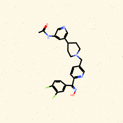 CC(=O)Nc1cncc(C2CCN(Cc3ccc(C(=NO)c4ccc(F)c(F)c4)nc3)CC2)c1